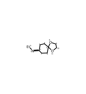 CCN=C1CCC2(CC1)OCCO2